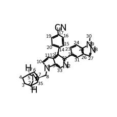 CN1[C@@H]2CC[C@H]1C[C@@H](Cn1ccc3c(-c4ccc(C#N)cc4)c(-c4ccc5c(cnn5C)c4)ncc31)C2